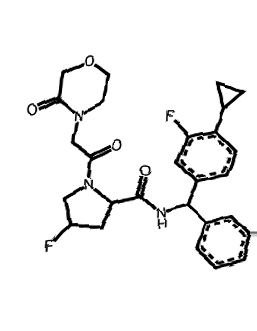 O=C(NC(c1ccccc1)c1ccc(C2CC2)c(F)c1)C1CC(F)CN1C(=O)CN1CCOCC1=O